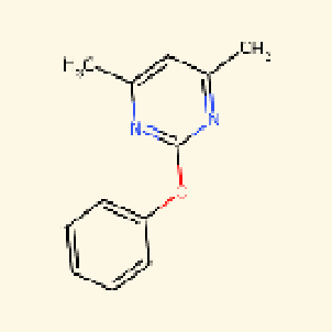 Cc1cc(C)nc(Oc2c[c]ccc2)n1